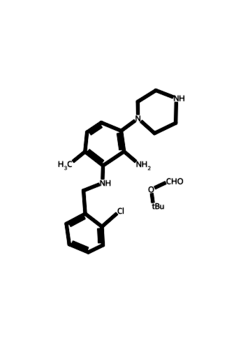 CC(C)(C)OC=O.Cc1ccc(N2CCNCC2)c(N)c1NCc1ccccc1Cl